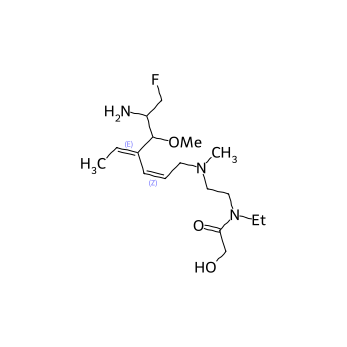 C/C=C(\C=C/CN(C)CCN(CC)C(=O)CO)C(OC)C(N)CF